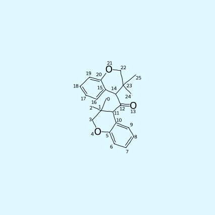 CC1(C)COc2ccccc2C1C(=O)C1c2ccccc2OCC1(C)C